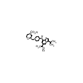 C=C(OCC)c1cc(NC2CCN(C[C@@H]3CN(C(=O)O)CCO3)CC2)c2ncc(C(=C)C)n2c1